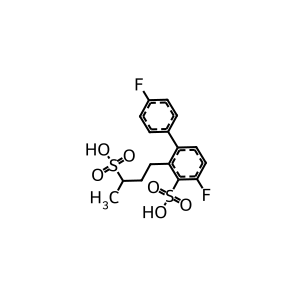 CC(CCc1c(-c2ccc(F)cc2)ccc(F)c1S(=O)(=O)O)S(=O)(=O)O